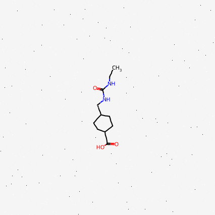 CCNC(=O)NCC1CCC(C(=O)O)CC1